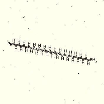 BBBBBBBBBBBBBBBBBBBBBBBBBBBBBBBCC